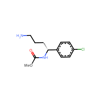 COC(=O)N[C@H](CCCN)c1ccc(Cl)cc1